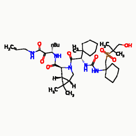 C=CCNC(=O)C(=O)[C@H](CCCC)NC(=O)[C@@H]1[C@@H]2[C@H](CN1C(=O)[C@@H](NC(=O)NC1(CS(=O)(=O)C(C)(C)CO)CCCCC1)C1(C)CCCCC1)C2(C)C